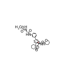 COC(=O)NCC(=O)Nc1cccc(-c2ccc([C@@]3(CC(=O)NOC4CCCCO4)CCCCS3(=O)=O)s2)c1